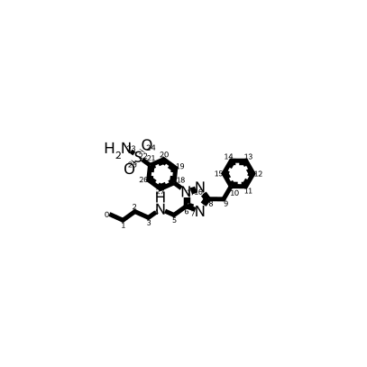 CCCCNCc1nc(Cc2ccccc2)nn1-c1ccc(S(N)(=O)=O)cc1